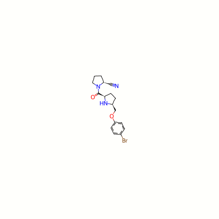 N#C[C@@H]1CCCN1C(=O)[C@H]1CC[C@@H](COc2ccc(Br)cc2)N1